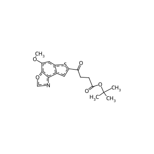 COc1cc2sc(C(=O)CCC(=O)OC(C)(C)C)cc2c2ncoc12